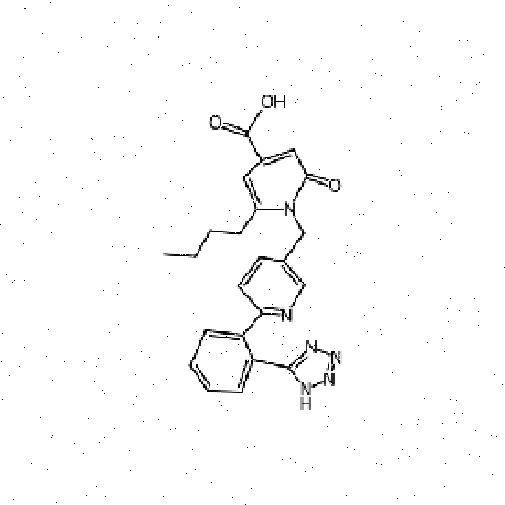 CCCCc1cc(C(=O)O)cc(=O)n1Cc1ccc(-c2ccccc2-c2nnn[nH]2)nc1